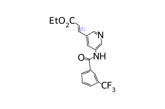 CCOC(=O)/C=C/c1cncc(NC(=O)c2cccc(C(F)(F)F)c2)c1